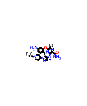 CCc1nc(C(N)=O)c(Nc2cnn(C3CCN(CC(F)(F)F)CC3)c2)nc1Oc1cc(N)ccc1F